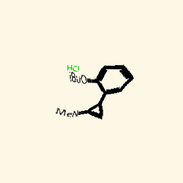 CNC1CC1c1ccccc1OCC(C)C.Cl